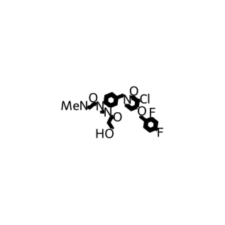 CNCC(=O)N1CN(C(=O)CCO)c2cc(Cn3ccc(OCc4ccc(F)cc4F)c(Cl)c3=O)ccc21